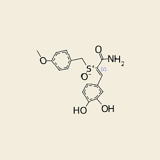 COc1ccc(C[S+]([O-])/C(=C\c2ccc(O)c(O)c2)C(N)=O)cc1